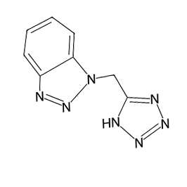 c1ccc2c(c1)nnn2Cc1nnn[nH]1